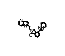 O=C1c2cccc(-c3cn4ccccc4n3)c2CN1CCc1ccc2ncccc2n1